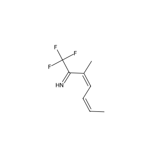 C/C=C\C=C(\C)C(=N)C(F)(F)F